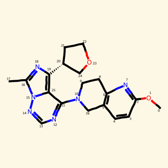 COc1ccc2c(n1)CCN(c1ncnn3c(C)nc([C@@H]4CCOC4)c13)C2